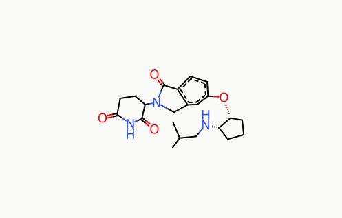 CC(C)CN[C@H]1CCC[C@H]1Oc1ccc2c(c1)CN(C1CCC(=O)NC1=O)C2=O